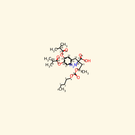 CCCCCOC(=O)O[C@@H](C)CC(N)(Cc1ccc(OC(=O)C(C)C)c(OC(=O)C(C)C)c1)C(=O)O